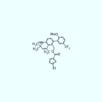 CCc1ccc(C(=O)OCc2c(-c3cc(C(F)(F)F)ccc3OC)ccc3c2C(C)=CC(C)(C)N3)s1